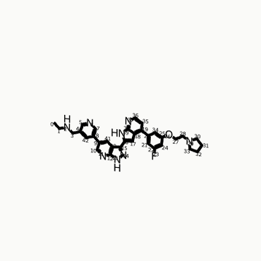 CCNCc1cncc(-c2cnc3[nH]nc(-c4cc5c(-c6cc(F)cc(OCCN7CCCC7)c6)ccnc5[nH]4)c3c2)c1